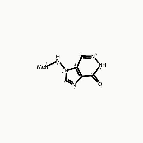 CNNn1cnc2c(=O)[nH]ncc21